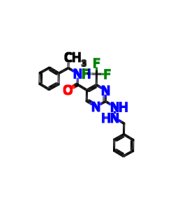 CC(NC(=O)c1cnc(NNCc2ccccc2)nc1C(F)(F)F)c1ccccc1